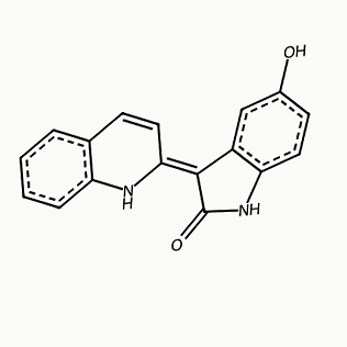 O=C1Nc2ccc(O)cc2C1=C1C=Cc2ccccc2N1